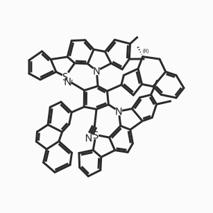 Cc1cc2c3ccc4c5ccccc5sc4c3n(-c3c(C#N)c(-c4ccc5ccc6ccccc6c5c4)c(C#N)c(-n4c5cc(C)c(C)cc5c5ccc6c7ccccc7sc6c54)c3C3=CC4=C(C3)[C@H](C)Cc3ccccc34)c2cc1C